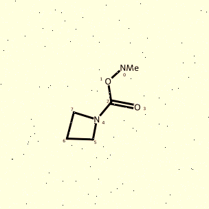 CNOC(=O)N1CCC1